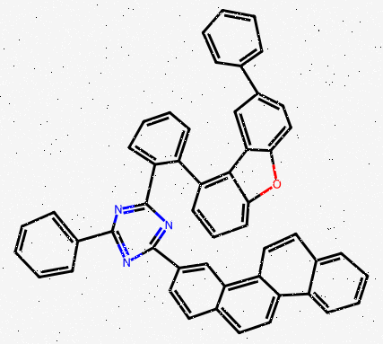 c1ccc(-c2ccc3oc4cccc(-c5ccccc5-c5nc(-c6ccccc6)nc(-c6ccc7ccc8c9ccccc9ccc8c7c6)n5)c4c3c2)cc1